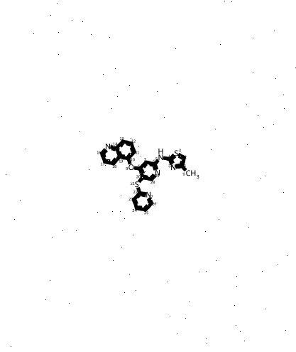 Cc1csc(Nc2cc(Oc3cccc4ncccc34)c(Sc3ccccn3)cn2)n1